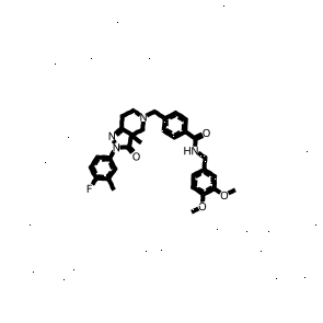 COc1ccc(CNC(=O)c2ccc(CN3CCC4=NN(c5ccc(F)c(C)c5)C(=O)C4(C)C3)cc2)cc1OC